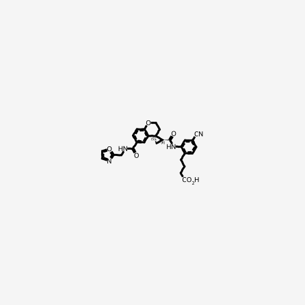 N#Cc1ccc(CCCC(=O)O)c(NC(=O)[C@@H]2C[C@]23CCOc2ccc(C(=O)NCc4ncco4)cc23)c1